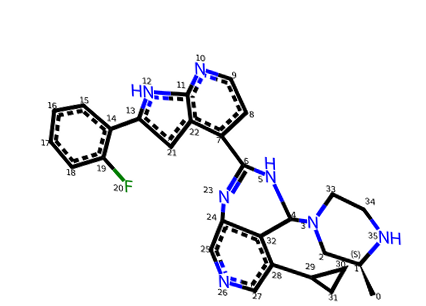 C[C@H]1CN(C2NC(c3ccnc4[nH]c(-c5ccccc5F)cc34)=Nc3cncc(C4CC4)c32)CCN1